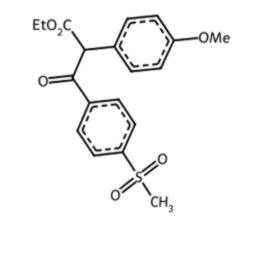 CCOC(=O)C(C(=O)c1ccc(S(C)(=O)=O)cc1)c1ccc(OC)cc1